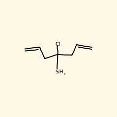 C=CCC([SiH3])(Cl)CC=C